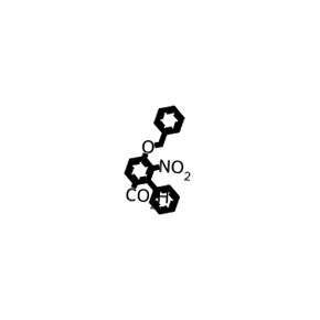 O=C(O)c1ccc(OCc2ccccc2)c([N+](=O)[O-])c1-c1ccccc1